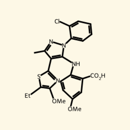 CCc1sc(-c2c(C)nn(-c3ccccc3Cl)c2Nc2ccc(OC)cc2C(=O)O)nc1OC